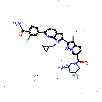 Cc1c(-c2cc3ccc(-c4ccc(C(N)=O)c(F)c4)nc3n2CC2CC2)nn2cc(C(=O)N3C[C@H](N)C[C@@H](F)C3)ccc12